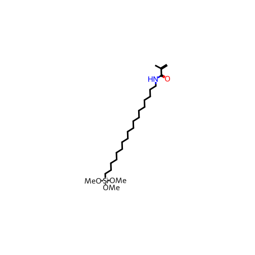 C=C(C)C(=O)NCCCCCCCCCCCCCCCCCC[Si](OC)(OC)OC